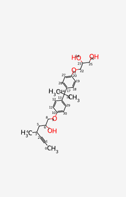 CC#CC(C)CC(O)COc1ccc(C(C)(C)c2ccc(OCC(O)CO)cc2)cc1